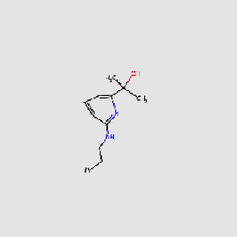 CC(C)CCNc1cccc(C(C)(C)O)n1